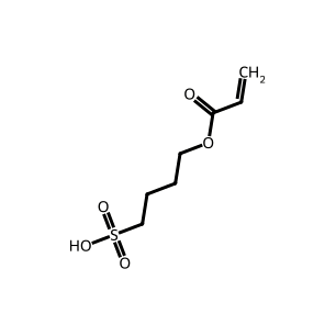 C=CC(=O)OCCCCS(=O)(=O)O